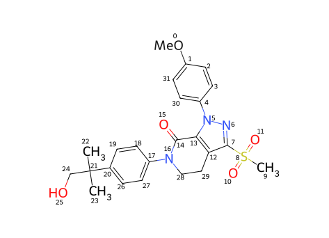 COc1ccc(-n2nc(S(C)(=O)=O)c3c2C(=O)N(c2ccc(C(C)(C)CO)cc2)CC3)cc1